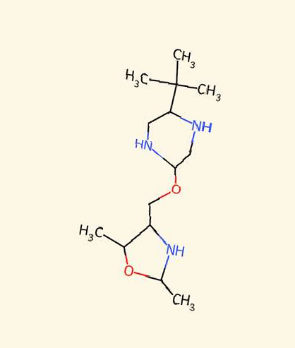 CC1NC(COC2CNC(C(C)(C)C)CN2)C(C)O1